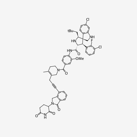 COc1cc(C(=O)N2CCC(C)=C(CC#Cc3cccc4c3CN(C3CCC(=O)NC3=O)C4=O)C2)ccc1NC(=O)[C@@H]1N[C@@H](CC(C)(C)C)[C@@]2(CNc3cc(Cl)ccc32)[C@H]1c1cccc(Cl)c1F